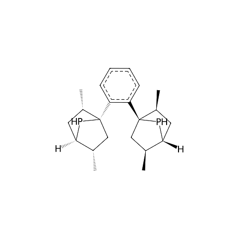 C[C@H]1C[C@@]2(c3ccccc3[C@@]34C[C@H](C)[C@@H](C[C@@H]3C)P4)P[C@@H]1C[C@@H]2C